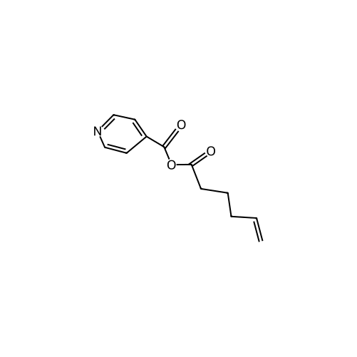 C=CCCCC(=O)OC(=O)c1ccncc1